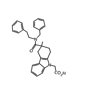 CC1(C(=O)N(CCc2ccccc2)Cc2ccccc2)CCc2c(c3ccccc3n2CC(=O)O)C1